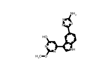 COc1nc(O)cc(-c2c[nH]c3ccc(-c4nnc(N)s4)cc23)n1